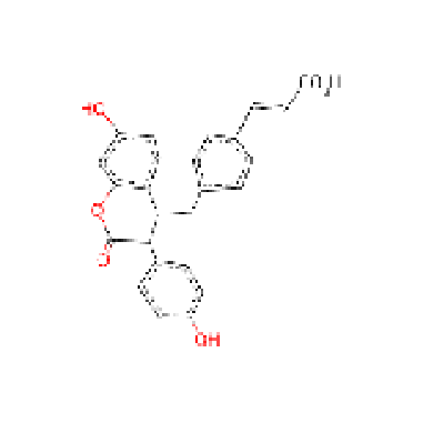 O=C(O)/C=C/c1ccc(CC2c3ccc(O)cc3OC(=O)C2c2ccc(O)cc2)cc1